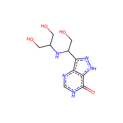 O=c1[nH]cnc2c(C(CO)NC(CO)CO)n[nH]c12